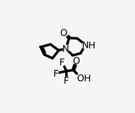 O=C(O)C(F)(F)F.O=C1CNCCN1C1CC=CC1